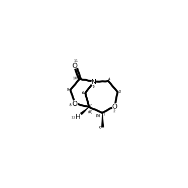 C[C@@H]1OCCN2C[C@H]1OCC2=O